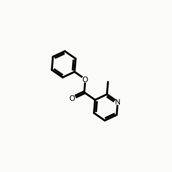 Cc1ncccc1C(=O)Oc1ccccc1